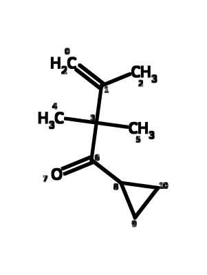 C=C(C)C(C)(C)C(=O)C1CC1